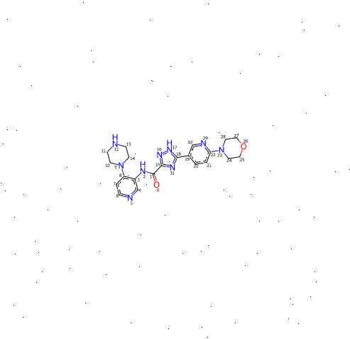 O=C(Nc1cnccc1N1CCNCC1)c1n[nH]c(-c2ccc(N3CCOCC3)nc2)n1